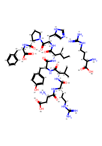 CC[C@H](C)[C@H](NC(=O)[C@H](Cc1ccc(O)cc1)NC(=O)[C@@H](NC(=O)[C@H](CCCNC(=N)N)NC(=O)[C@@H](N)CC(=O)O)C(C)C)C(=O)N[C@@H](Cc1cnc[nH]1)C(=O)N1CCC[C@H]1C(=O)N[C@@H](Cc1ccccc1)C(=O)O.N=C(N)NCCCC(N)C(=O)O